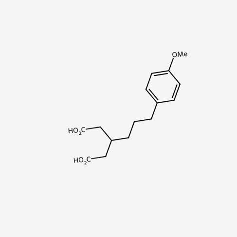 COc1ccc(CCCC(CC(=O)O)CC(=O)O)cc1